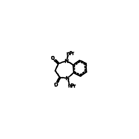 CCCN1C(=O)CC(=O)N(CCC)c2ccccc21